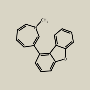 CN1C=CC=CC(c2cccc3oc4ccccc4c23)=C1